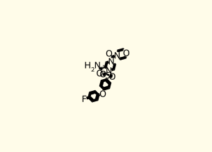 NC(=O)[C@H]1CN(C(=O)N2CCOCC2)CCN1S(=O)(=O)c1ccc(Oc2ccc(F)cc2)cc1